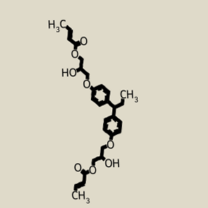 CC=CC(=O)OCC(O)COc1ccc(C(CC)c2ccc(OCC(O)COC(=O)C=CC)cc2)cc1